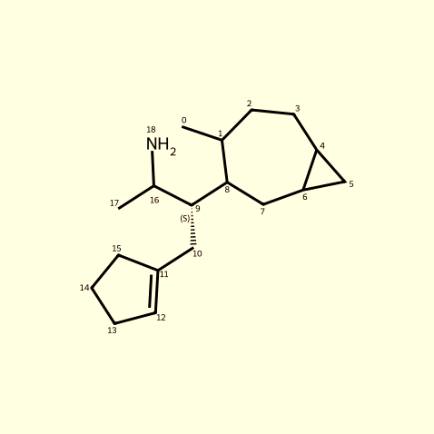 CC1CCC2CC2CC1[C@H](CC1=CCCC1)C(C)N